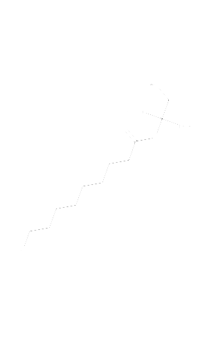 CCCCCCCCCCCC(CCCCCCCC)(CCCCCCCC)OC(=O)CCCCCCCCC(=O)O